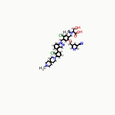 CN1CCC2(CC1)CCN(c1cccc(-c3cccc4c3cnn4Cc3cc(OCc4cncc(C#N)c4)c(CN(C)C(CO)C(=O)O)cc3Cl)c1Cl)CC2